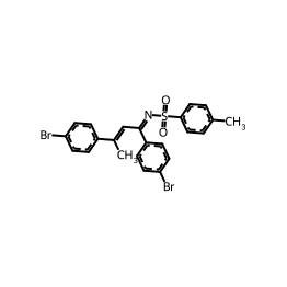 C/C(=C\C(=N\S(=O)(=O)c1ccc(C)cc1)c1ccc(Br)cc1)c1ccc(Br)cc1